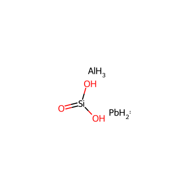 O=[Si](O)O.[AlH3].[PbH2]